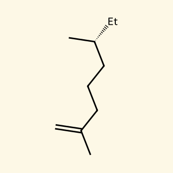 C=C(C)CCC[C@H](C)CC